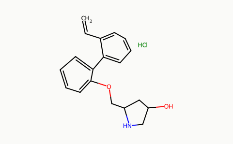 C=Cc1ccccc1-c1ccccc1OCC1CC(O)CN1.Cl